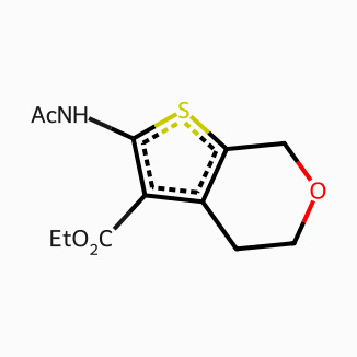 CCOC(=O)c1c(NC(C)=O)sc2c1CCOC2